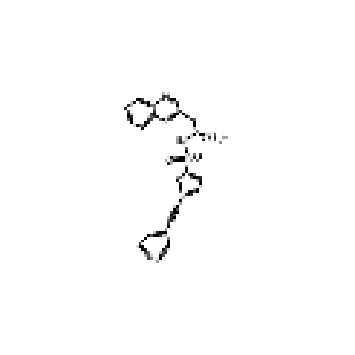 O=C(O)[C@H](Cc1cnc2ccccc2c1)NS(=O)(=O)c1ccc(C#Cc2ccccc2)s1